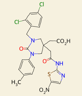 Cc1ccc(N2CC(CC(=O)O)(CC(=O)Nc3ncc([N+](=O)[O-])s3)CN(Cc3ccc(Cl)cc3Cl)C2=O)cc1